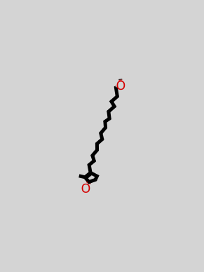 COCCCCCCCCCCCCCCCC1=C(C)C(=O)CC1